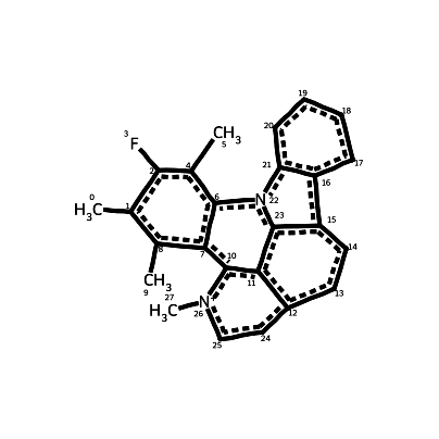 Cc1c(F)c(C)c2c(c1C)c1c3c(ccc4c5ccccc5n2c43)cc[n+]1C